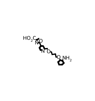 Nc1ccccc1OCCCCOCc1cc(-c2nc(C(=O)O)co2)ccn1